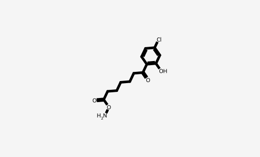 NOC(=O)CCCCCC(=O)c1ccc(Cl)cc1O